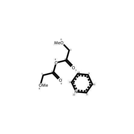 COCC(=O)OC(=O)COC.c1ccncc1